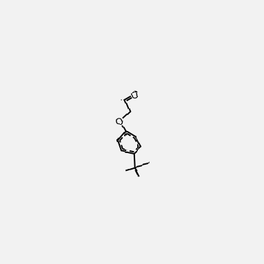 CC(C)(C)c1ccc(OC[C]=O)cc1